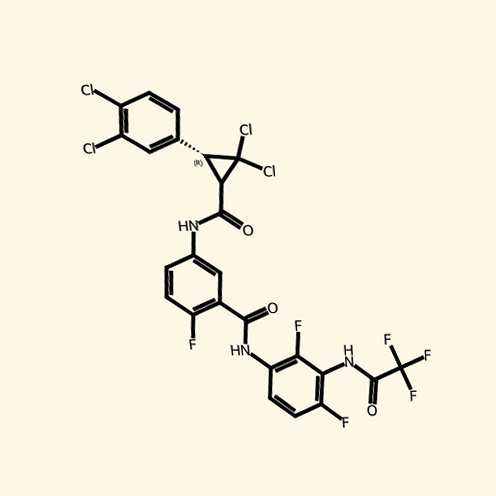 O=C(Nc1ccc(F)c(NC(=O)C(F)(F)F)c1F)c1cc(NC(=O)C2[C@H](c3ccc(Cl)c(Cl)c3)C2(Cl)Cl)ccc1F